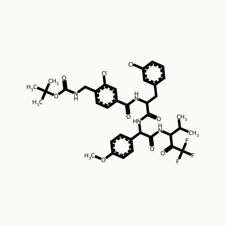 COc1ccc(C(NC(=O)C(Cc2cccc(Cl)c2)NC(=O)c2ccc(CNC(=O)OC(C)(C)C)c(Cl)c2)C(=O)NC(C(=O)C(F)(F)F)C(C)C)cc1